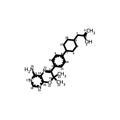 C=C(O)CC1CCC(c2ccc(C3=Nc4c(N)ncnc4OC3(C)C)cc2)CC1